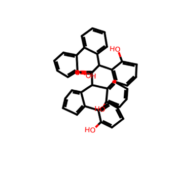 O=C(C(c1ccccc1O)c1ccccc1-c1ccccc1O)C(c1ccccc1O)c1ccccc1-c1ccccc1O